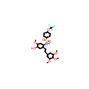 COc1cc(NS(=O)(=O)c2ccc(OC(F)(F)F)cc2)c(C=Cc2cc(OC)c(OC)c(OC)c2)cc1O